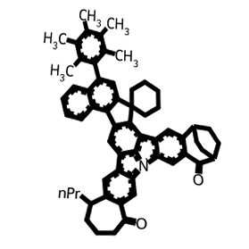 CCCC1CCCC(=O)c2cc3c(cc21)c1cc2c(c4c5cc6c(cc5n3c14)C(=O)C1CCC6CC1)C1(CCCCC1)c1cc(-c3c(C)c(C)c(C)c(C)c3C)c3ccccc3c1-2